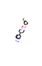 Cn1cnc2cc(C3CCN(S(=O)(=O)c4ccc5c(c4)CCO5)CC3)ccc21